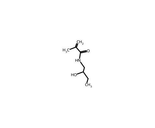 C=C(C)C(=O)NCC(O)CC